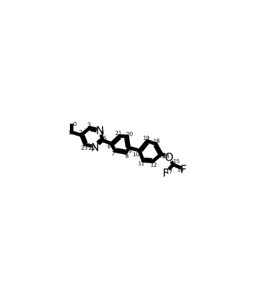 CCc1cnc(-c2ccc(-c3ccc(OC(F)F)cc3)cc2)nc1